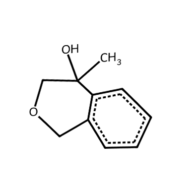 CC1(O)COCc2ccccc21